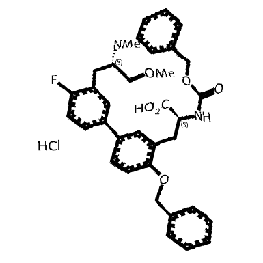 CN[C@H](COC)Cc1cc(-c2ccc(OCc3ccccc3)c(C[C@H](NC(=O)OCc3ccccc3)C(=O)O)c2)ccc1F.Cl